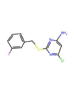 Nc1cc(Cl)nc(SCc2cccc(I)c2)n1